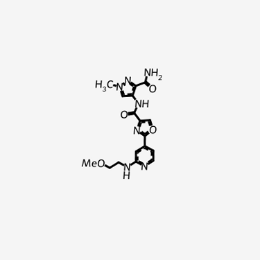 COCCNc1cc(-c2nc(C(=O)Nc3cn(C)nc3C(N)=O)co2)ccn1